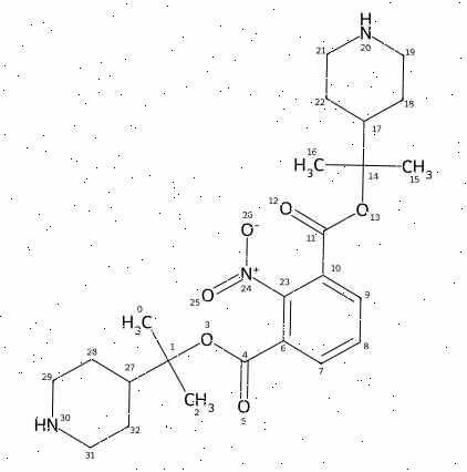 CC(C)(OC(=O)c1cccc(C(=O)OC(C)(C)C2CCNCC2)c1[N+](=O)[O-])C1CCNCC1